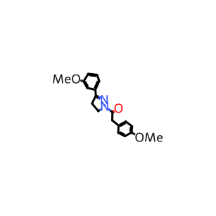 COc1ccc(CC(=O)N2CCC(c3cccc(OC)c3)=N2)cc1